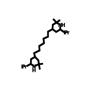 CC(C)C1CC(CCCCCCCC2CC(C(C)C)NC(C)(C)C2)CC(C)(C)N1